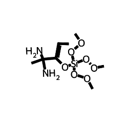 CC=C(O[Si](OOC)(OOC)OOC)C(C)(N)N